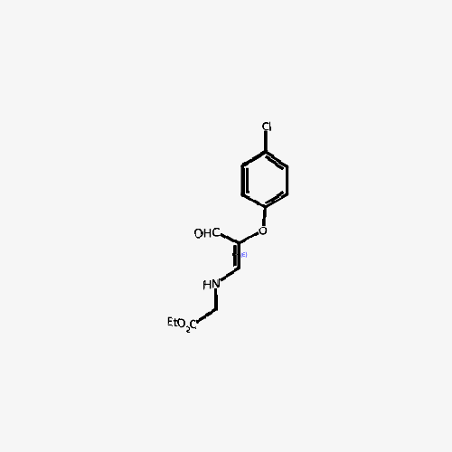 CCOC(=O)CN/C=C(\C=O)Oc1ccc(Cl)cc1